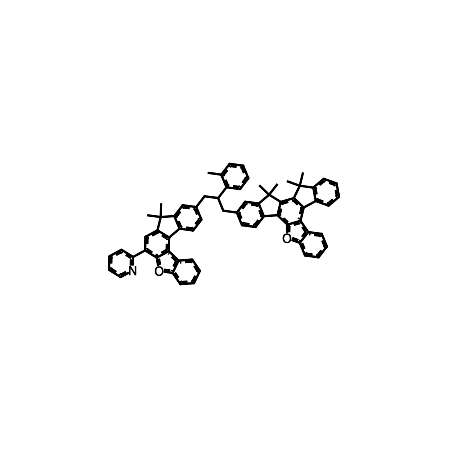 Cc1ccccc1C(Cc1ccc2c(c1)C(C)(C)c1cc(-c3ccccn3)c3oc4ccccc4c3c1-2)Cc1ccc2c(c1)C(C)(C)c1c3c(c4c(oc5ccccc54)c1-2)-c1ccccc1C3(C)C